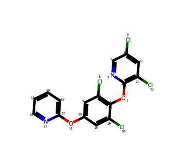 Clc1cnc(Oc2c(Cl)cc(Oc3ccccn3)cc2Cl)c(Cl)c1